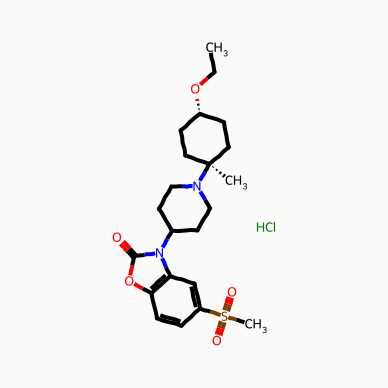 CCO[C@H]1CC[C@](C)(N2CCC(n3c(=O)oc4ccc(S(C)(=O)=O)cc43)CC2)CC1.Cl